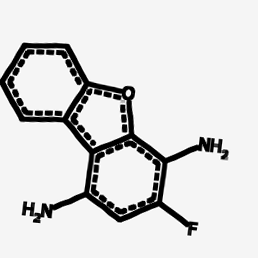 Nc1c(F)cc(N)c2c1oc1ccccc12